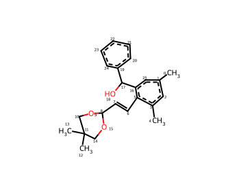 Cc1cc(C)c(/C=C/C2OCC(C)(C)CO2)c(C(O)c2ccccc2)c1